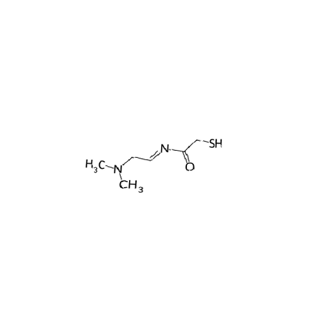 CN(C)CC=NC(=O)CS